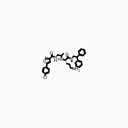 CC(CNC(=O)c1cc(-c2ccc(Cl)cc2)on1)N[C@@H](CCCN)C(=O)N(C)CC(c1ccccc1)c1ccccc1